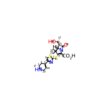 C[C@@H]1CC(c2csc(SC3=C(C(=O)O)N4C(=O)[C@H]([C@@H](C)O)[C@H]4C3(C)C)n2)=CCN1